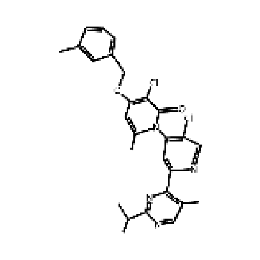 Cc1cccc(COc2cc(C)n(-c3cc(-c4nc(C(C)C)ncc4C)ncc3Cl)c(=O)c2Cl)c1